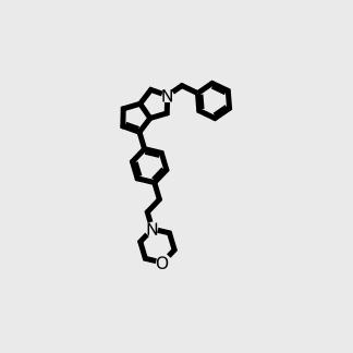 C1=C(c2ccc(CCN3CCOCC3)cc2)C2CN(Cc3ccccc3)CC2C1